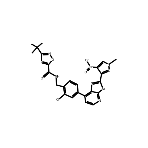 Cn1cc([N+](=O)[O-])c(-c2nc3c(-c4ccc(CNC(=O)c5nc(C(C)(C)C)no5)c(Cl)c4)ccnc3[nH]2)n1